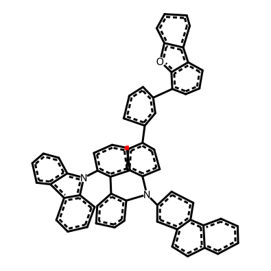 c1cc(-c2ccc(N(c3ccc4c(ccc5ccccc54)c3)c3ccccc3-c3ccccc3-n3c4ccccc4c4ccccc43)cc2)cc(-c2cccc3c2oc2ccccc23)c1